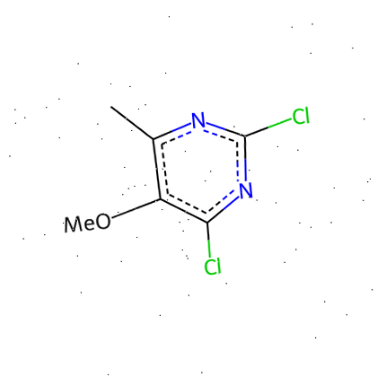 COc1c(C)nc(Cl)nc1Cl